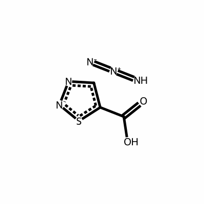 O=C(O)c1cnns1.[N-]=[N+]=N